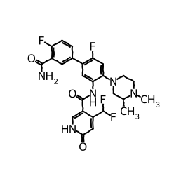 C[C@H]1CN(c2cc(F)c(-c3ccc(F)c(C(N)=O)c3)cc2NC(=O)c2c[nH]c(=O)cc2C(F)F)CCN1C